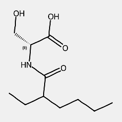 CCCCC(CC)C(=O)N[C@H](CO)C(=O)O